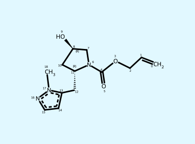 C=CCOC(=O)N1C[C@H](O)C[C@H]1Cc1ccnn1C